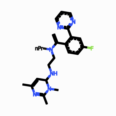 C=C(c1ccc(F)cc1-c1ncccn1)N(CCC)CCNC1C=C(C)N=C(C)N1C